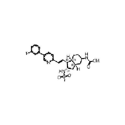 CS(=O)(=O)N[C@H]1C[C@H]2CC(NC(=O)O)CC[C@H]2[C@@H]1C=Cc1ccc(-c2cccc(F)c2)cn1